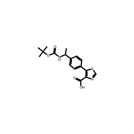 CC(NC(=O)OC(C)(C)C)c1ccc(-c2scnc2C(=O)O)cc1